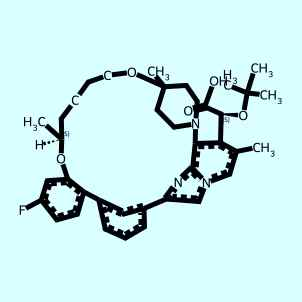 Cc1cn2cc3nc2c(c1[C@H](OC(C)(C)C)C(=O)O)N1CCC(C)(CC1)OCCCC[C@H](C)Oc1cc(F)ccc1-c1cccc-3c1